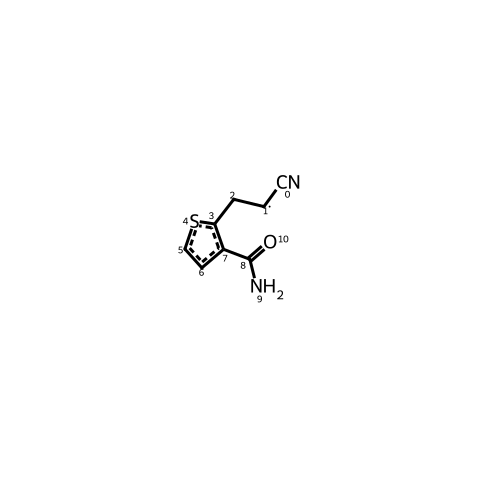 N#C[CH]Cc1sccc1C(N)=O